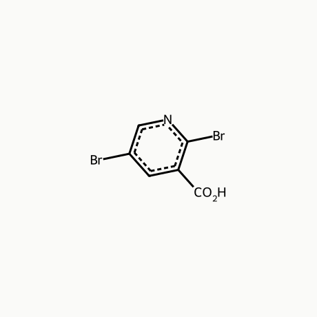 O=C(O)c1cc(Br)cnc1Br